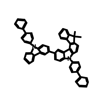 CC1(C)c2ccccc2-c2c1ccc1c2c2cc(-c3ccc4c(c3)c3ccccc3n4-c3ccc(-c4ccccc4)cc3)ccc2n1-c1ccc(-c2ccccc2)cc1